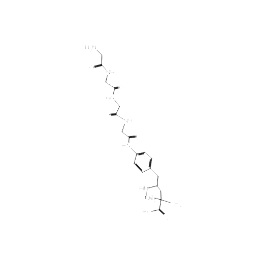 CNC(Cc1ccc(NC(=O)CNC(=O)CNC(=O)CNC(=O)CN)cc1)CC(C)(C)C(=O)O